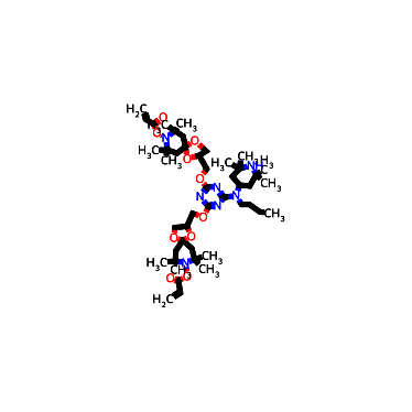 C=CC(=O)ON1C(C)(C)CC2(CC1(C)C)OCC(COc1nc(OCC3COC4(CC(C)(C)N(OC(=O)C=C)C(C)(C)C4)O3)nc(N(CCCC)C3CC(C)(C)NC(C)(C)C3)n1)O2